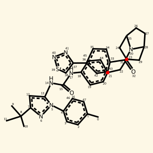 Cc1ccc(-n2nc(C(C)(C)C)cc2NC(=O)Nc2ccc(CC3CC4CCC(C3)N4C(=O)c3ccc(-c4csnn4)cc3)cc2)cc1